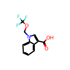 O=C(O)c1cn(COC(F)(F)F)c2ccccc12